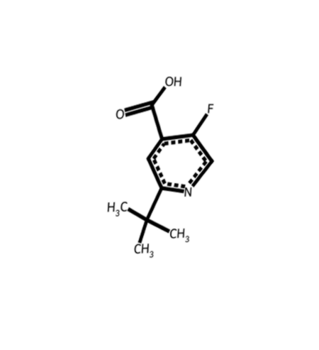 CC(C)(C)c1cc(C(=O)O)c(F)cn1